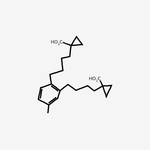 Cc1ccc(CCCCC2(C(=O)O)CC2)c(CCCCC2(C(=O)O)CC2)c1